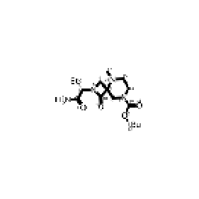 CC[C@@H](C(N)=O)N1CC2(CN(C(=O)OC(C)(C)C)CCN2C)C1=O